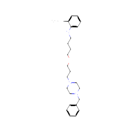 COc1ccccc1NCCCCOCCCN1CCN(Cc2ccccc2)CC1